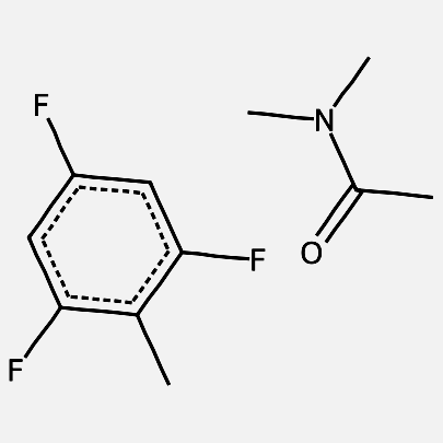 CC(=O)N(C)C.Cc1c(F)cc(F)cc1F